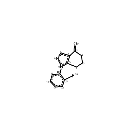 O=C1CCCc2c1cnn2-c1ccccc1F